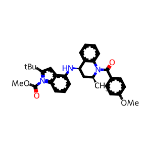 COC(=O)n1c(C(C)(C)C)cc2c(N[C@@H]3C[C@H](C)N(C(=O)c4ccc(OC)cc4)c4ccccc43)cccc21